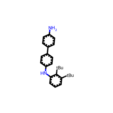 CC(C)(C)c1cccc(Nc2ccc(-c3ccc(N)cc3)cc2)c1C(C)(C)C